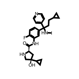 O=C(Nc1cc(C(CCC2CC2)(NI)c2ccncc2)ccc1F)[C@H]1C[C@](O)(C2CC2)CN1